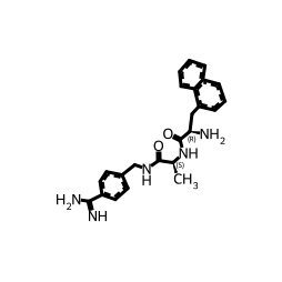 C[C@H](NC(=O)[C@H](N)Cc1cccc2ccccc12)C(=O)NCc1ccc(C(=N)N)cc1